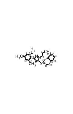 CCCn1nc(-c2c(C)cc(C)cc2C)cc1CN1CCc2ccccc2C1